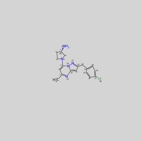 Cc1cc(N2CC[C@@H](N)C2)n2nc(Cc3ccc(Cl)cc3)cc2n1